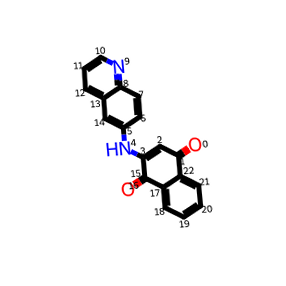 O=C1C=C(Nc2ccc3ncccc3c2)C(=O)c2ccccc21